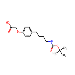 CC(C)(C)OC(=O)NCCCCc1ccc(OCC(=O)O)cc1